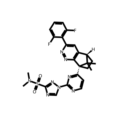 CN(C)S(=O)(=O)c1ncn(-c2nccc([C@]34CC[C@@H](c5cc(-c6c(F)cccc6F)nnc53)C4(C)C)n2)n1